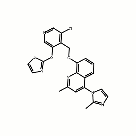 Cc1cc(-n2ccnc2C)c2cccc(OCc3c(Cl)cncc3Sc3nccs3)c2n1